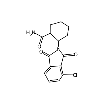 NC(=O)C1CCCCC1N1C(=O)c2cccc(Cl)c2C1=O